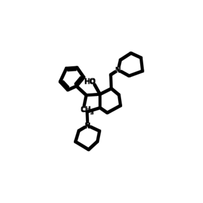 CC(c1ccccc1)C1(O)C(CN2CCCCC2)CCCC1CN1CCCCC1